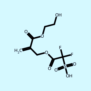 C=C(COC(=O)C(F)(F)S(=O)(=O)O)C(=O)OCCO